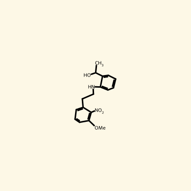 COc1cccc(CCNc2ccccc2C(C)O)c1[N+](=O)[O-]